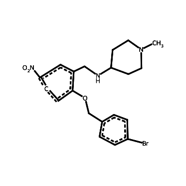 CN1CCC(NCc2cc([N+](=O)[O-])ccc2OCc2ccc(Br)cc2)CC1